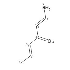 B/C=C/C(=O)/C=C/C